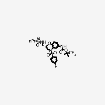 CCCS(=O)(=O)NC[C@H]1CN(S(=O)(=O)c2ccc(F)cc2)c2cc(NC(=O)OC(C)(C)C(F)(F)F)ccc2O1